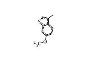 Cc1csc2cc(OC(F)(F)F)ccc12